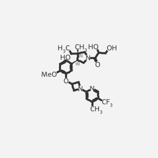 COc1ccc([C@@H]2CN(C(=O)C(O)CO)C[C@@]2(C)C(C)O)cc1OC1CN(c2cc(C)c(C(F)(F)F)cn2)C1